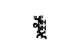 CCC(C)(C)CNC(=O)NC(C)C